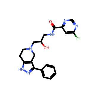 O=C(NCC(O)CN1CCc2[nH]nc(-c3ccccc3)c2C1)c1cc(Cl)ncn1